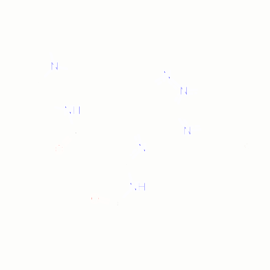 CCC(=O)Nc1cc(C(=O)NCC(C)N(CC)CC)cc(-c2cnn3ccc(-c4cccs4)nc23)n1